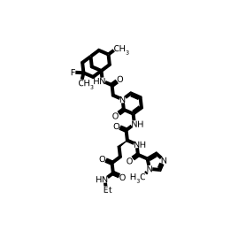 CCNC(=O)C(=O)CC[C@H](NC(=O)c1cncn1C)C(=O)Nc1cccn(CC(=O)NC23CC(C)CC(CC(C)(F)C2)C3)c1=O